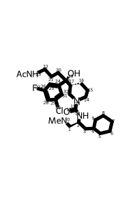 CNC[C@H](CC1CCCCC1)NC(=O)N1CCC[C@@H]([C@@](O)(CCCNC(C)=O)c2cc(F)cc(Cl)c2)C1